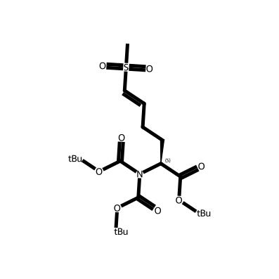 CC(C)(C)OC(=O)[C@H](CCC=CS(C)(=O)=O)N(C(=O)OC(C)(C)C)C(=O)OC(C)(C)C